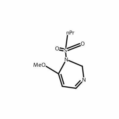 CCCS(=O)(=O)N1CN=CC=C1OC